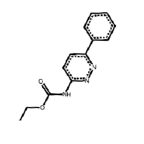 CCOC(=O)Nc1ccc(-c2ccccc2)nn1